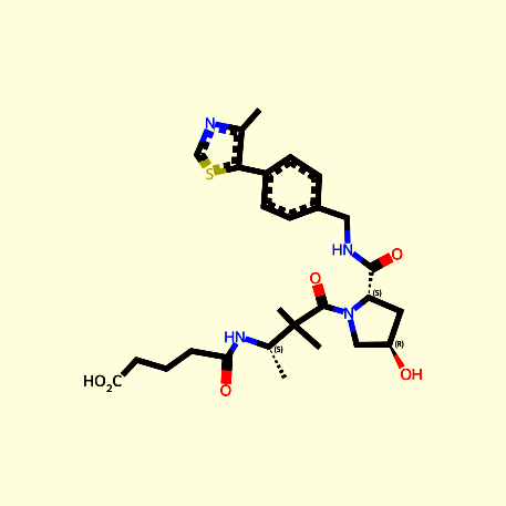 Cc1ncsc1-c1ccc(CNC(=O)[C@@H]2C[C@@H](O)CN2C(=O)C(C)(C)[C@H](C)NC(=O)CCCC(=O)O)cc1